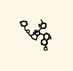 Cc1cccc(-c2nn3c(c2-c2ccnc4cc(Cl)ccc24)CCC3COCc2ccccc2)n1